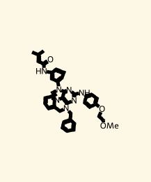 COCCOc1ccc(Nc2nc(N(Cc3ccccc3)Cc3ccccc3)c3ncn(-c4cccc(NC(=O)C=C(C)C)c4)c3n2)cc1